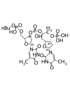 CCCCOP(=O)(O)OCC1O[C@@H](n2cc(C)c(=O)[nH]c2=O)C[C@H]1OP(=O)(O)OC(C)CC1O[C@@H](n2cc(C)c(=O)[nH]c2=O)C[C@H]1OP(=O)(O)O